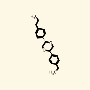 CCCc1ccc([C@H]2CO[C@H](c3ccc(CC)cc3)CO2)cc1